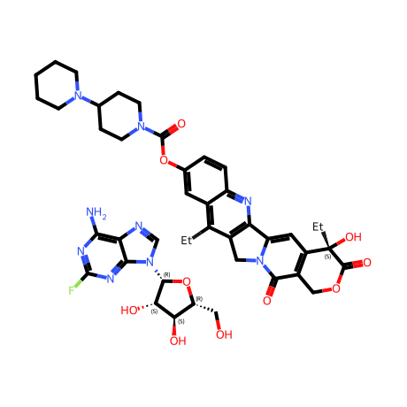 CCc1c2c(nc3ccc(OC(=O)N4CCC(N5CCCCC5)CC4)cc13)-c1cc3c(c(=O)n1C2)COC(=O)[C@]3(O)CC.Nc1nc(F)nc2c1ncn2[C@@H]1O[C@H](CO)[C@@H](O)[C@@H]1O